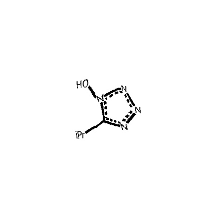 CC(C)c1nnnn1O